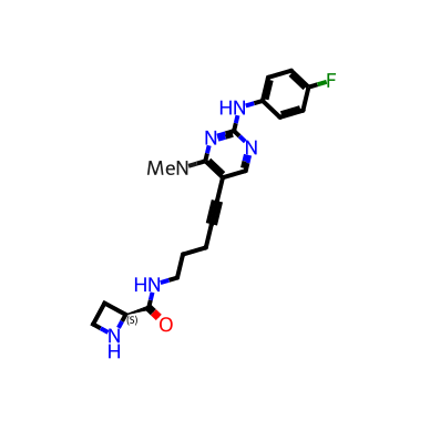 CNc1nc(Nc2ccc(F)cc2)ncc1C#CCCCNC(=O)[C@@H]1CCN1